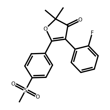 CC1(C)OC(c2ccc(S(C)(=O)=O)cc2)=C(c2ccccc2F)C1=O